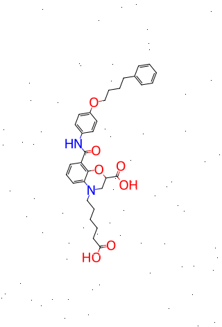 O=C(O)CCCCCN1CC(C(=O)O)Oc2c(C(=O)Nc3ccc(OCCCCc4ccccc4)cc3)cccc21